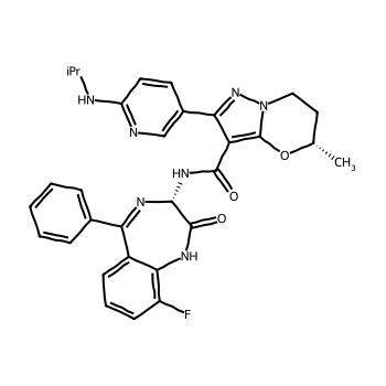 CC(C)Nc1ccc(-c2nn3c(c2C(=O)N[C@H]2N=C(c4ccccc4)c4cccc(F)c4NC2=O)O[C@@H](C)CC3)cn1